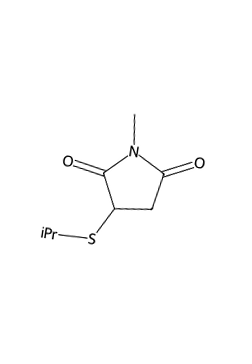 CC(C)SC1CC(=O)N(C)C1=O